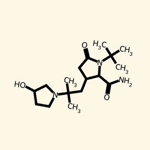 CC(C)(C)N1C(=O)CC(CC(C)(C)N2CCC(O)C2)C1C(N)=O